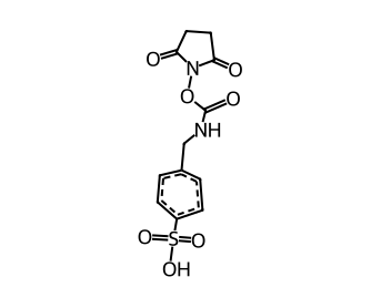 O=C(NCc1ccc(S(=O)(=O)O)cc1)ON1C(=O)CCC1=O